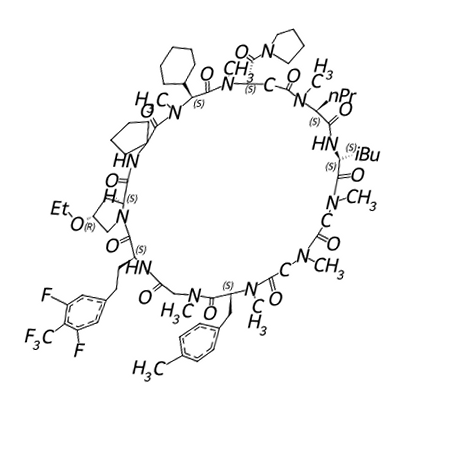 CCC[C@H]1C(=O)N[C@@H]([C@@H](C)CC)C(=O)N(C)CC(=O)N(C)CC(=O)N(C)[C@@H](Cc2ccc(C)cc2)C(=O)N(C)CC(=O)N[C@@H](CCc2cc(F)c(C(F)(F)F)c(F)c2)C(=O)N2C[C@H](OCC)C[C@H]2C(=O)NC2(CCCC2)C(=O)N(C)[C@@H](C2CCCCC2)C(=O)N(C)[C@H](C(=O)N2CCCC2)CC(=O)N1C